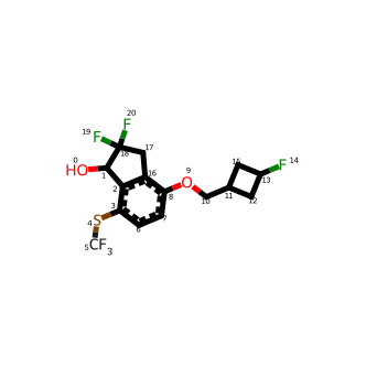 OC1c2c(SC(F)(F)F)ccc(OCC3CC(F)C3)c2CC1(F)F